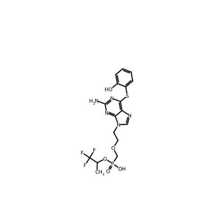 CC(OP(=O)(O)COCCn1cnc2c(Sc3ccccc3O)nc(N)nc21)C(F)(F)F